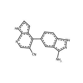 N#Cc1cnc2[nH]ccc2c1-c1ccc2[nH]nc(N)c2c1